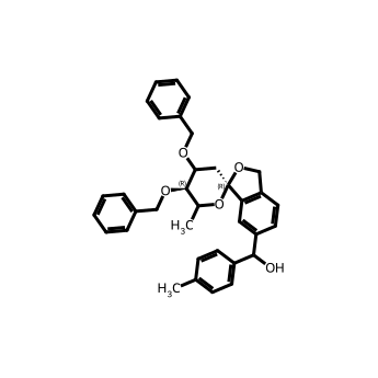 Cc1ccc(C(O)c2ccc3c(c2)[C@]2(CC(OCc4ccccc4)[C@H](OCc4ccccc4)C(C)O2)OC3)cc1